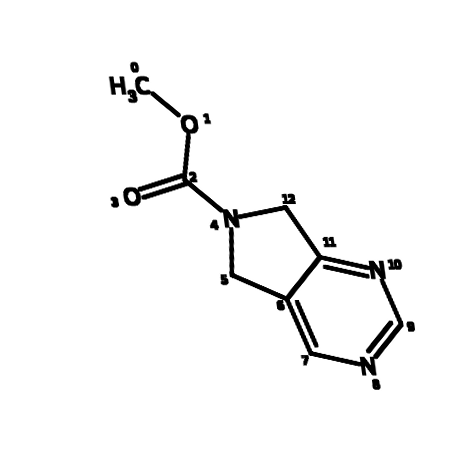 COC(=O)N1Cc2cncnc2C1